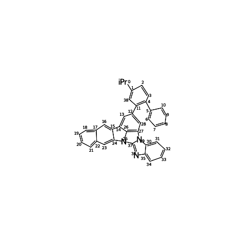 CC(C)c1ccc(-c2ccccc2)c(-c2cc3c4cc5ccccc5cc4n4c3c(c2)n2c3ccccc3nc24)c1